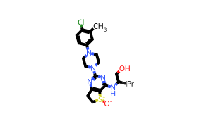 Cc1cc(N2CCN(c3nc4c(c(NC(CO)C(C)C)n3)[S+]([O-])CC4)CC2)ccc1Cl